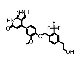 COc1cc(-c2cc(=O)[nH]c3n[nH]cc23)ccc1OCc1ccc(CCO)cc1C(F)(F)F